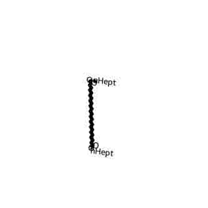 CCCCCCCOC(=O)CCCCCCCCCCCCCCCCCCCCCCCC(=O)OCCCCCCC